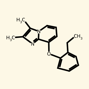 CCc1ccccc1Oc1cccn2c(C)c(C)nc12